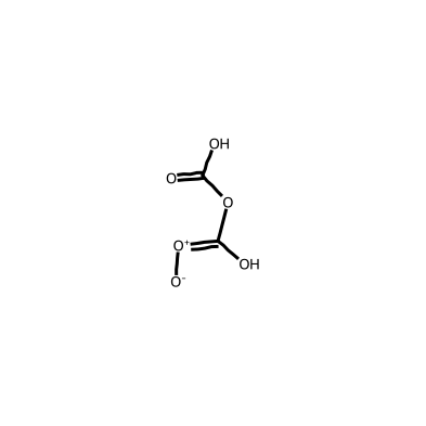 O=C(O)OC(O)=[O+][O-]